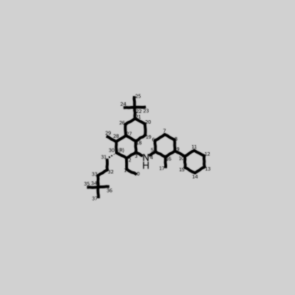 CCC1C(NC2CCCC(C3CCCCC3)C2C)C2CCC(C(C)(C)C)CC2C(C)[C@H]1CCCC(C)(C)C